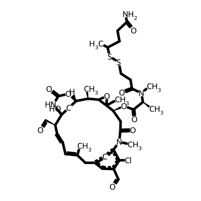 C/C1=C\C=C\[C@@H](C=O)[C@@]2(O)C[C@H](OC(=O)N2)[C@@H](C)C2OC2(C)[C@@H](OC(=O)[C@H](C)N(C)C(=O)CCSSC(C)CCC(N)=O)CC(=O)N(C)c2cc(cc(C=O)c2Cl)C1